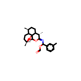 Cc1cccc(C(/N=C2\O[C@H]3O[C@@]4(C)CCC5[C@@H](C)CCC([C@@H]2C)C53OO4)OC=O)c1